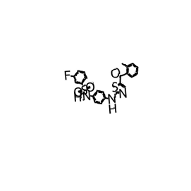 Cc1ccccc1C(=O)c1cnc(Nc2ccc(NS(=O)(=O)c3cccc(F)c3)cc2)s1